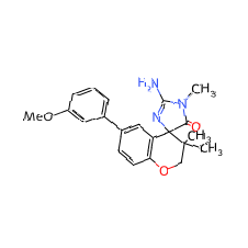 COc1cccc(-c2ccc3c(c2)C2(N=C(N)N(C)C2=O)C(C)(C)CO3)c1